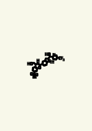 CCn1c(C(O)c2ccc(C(F)(F)F)cn2)cc2cc(C(=O)NC(CO)c3ccc(S(=O)(=O)CC)cc3)ccc21